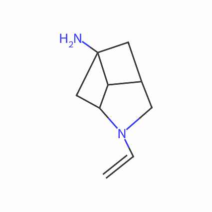 C=CN1CC2CC3(N)CC1C23